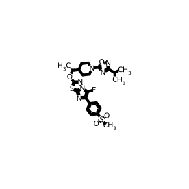 CC(C)c1noc(N2CCC([C@@H](C)Oc3nn4c(F)c(-c5ccc(S(C)(=O)=O)cc5)nc4s3)CC2)n1